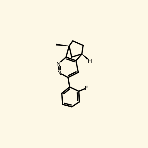 C[C@@]12CC[C@@H](C1)c1cc(-c3ccccc3F)nnc12